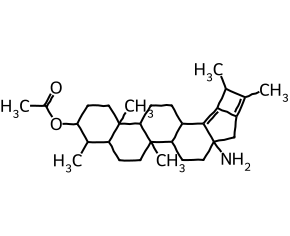 CC(=O)OC1CCC2(C)C(CCC3(C)C4CCC5(N)CC6=C(C)C(C)C6=C5C4CCC32)C1C